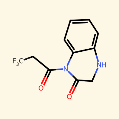 O=C1CNc2ccccc2N1C(=O)CC(F)(F)F